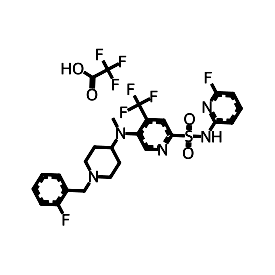 CN(c1cnc(S(=O)(=O)Nc2cccc(F)n2)cc1C(F)(F)F)C1CCN(Cc2ccccc2F)CC1.O=C(O)C(F)(F)F